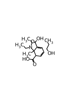 CCCO.CCN(CC)C1(C)C(C(=O)O)=CC=CC1C(=O)O